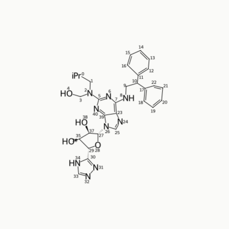 CC(C)CN(CO)c1nc(NCC(c2ccccc2)c2ccccc2)c2ncn([C@@H]3O[C@H](c4nnc[nH]4)[C@@H](O)[C@H]3O)c2n1